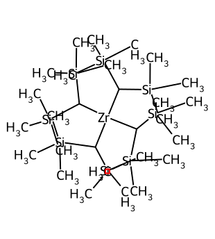 C[Si](C)(C)[CH]([Si](C)(C)C)[Zr]([CH]([Si](C)(C)C)[Si](C)(C)C)([CH]([Si](C)(C)C)[Si](C)(C)C)[CH]([Si](C)(C)C)[Si](C)(C)C